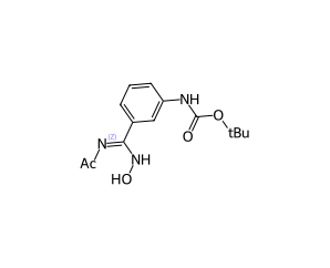 CC(=O)/N=C(\NO)c1cccc(NC(=O)OC(C)(C)C)c1